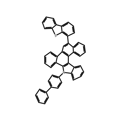 c1ccc(-c2ccc(-n3c4ccccc4c4c5c6ccccc6c(-c6cccc7c6sc6ccccc67)cc5c5ccccc5c43)cc2)cc1